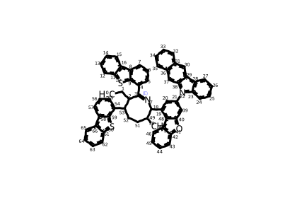 CCC1/C(c2cccc3c2sc2ccccc23)=N\C(c2cc(-n3c4ccccc4c4cc5ccccc5cc43)cc3oc4ccccc4c23)C(C)CCC1c1cccc2c1sc1ccccc12